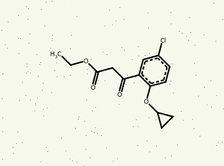 CCOC(=O)CC(=O)c1cc(Cl)ccc1OC1CC1